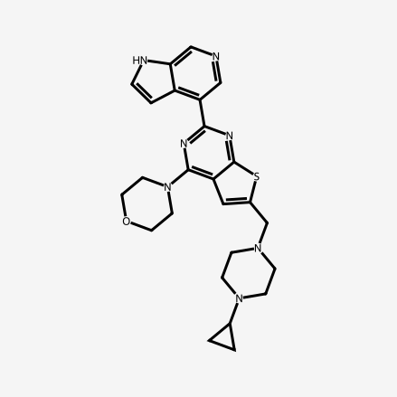 c1cc2c(-c3nc(N4CCOCC4)c4cc(CN5CCN(C6CC6)CC5)sc4n3)cncc2[nH]1